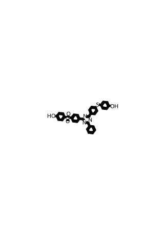 O=S(=O)(c1ccc(O)cc1)c1ccc(-c2nc(-c3ccccc3)nc(-c3ccc(Sc4ccc(O)cc4)cc3)n2)cc1